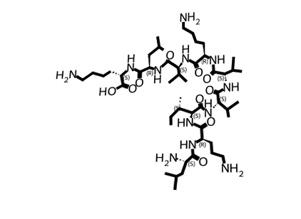 CC[C@H](C)[C@H](NC(=O)[C@@H](CCCN)NC(=O)[C@@H](N)CC(C)C)C(=O)N[C@H](C(=O)N[C@H](C(=O)N[C@H](CCCCN)C(=O)N[C@H](C(=O)N[C@H](CC(C)C)C(=O)N[C@@H](CCCCN)C(=O)O)C(C)C)C(C)C)C(C)C